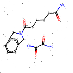 NC(=O)C(N)=O.NC(=O)CCCCC(=O)N1Cc2cccc(c2)C1